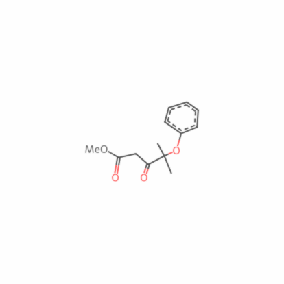 COC(=O)CC(=O)C(C)(C)Oc1ccccc1